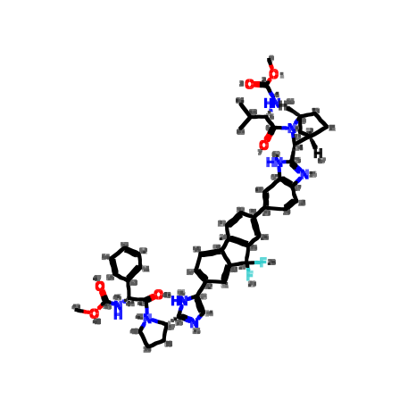 COC(=O)N[C@H](C(=O)N1[C@@H]2CC[C@@H](C2)[C@H]1c1nc2ccc(-c3ccc4c(c3)C(F)(F)c3cc(-c5cnc([C@@H]6CCCN6C(=O)[C@H](NC(=O)OC)c6ccccc6)[nH]5)ccc3-4)cc2[nH]1)C(C)C